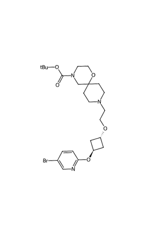 CC(C)(C)OC(=O)N1CCOC2(CCN(CCO[C@H]3C[C@H](Oc4ccc(Br)cn4)C3)CC2)C1